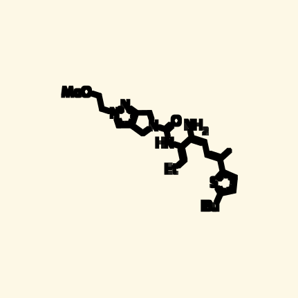 CC/C=C(NC(=O)N1Cc2cn(CCOC)nc2C1)/C(N)=C\C=C(/C)c1ccc(C(C)CC)s1